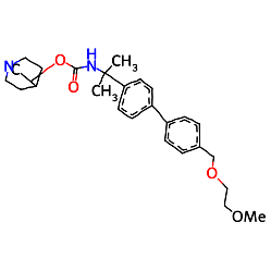 COCCOCc1ccc(-c2ccc(C(C)(C)NC(=O)OC3CN4CCC3CC4)cc2)cc1